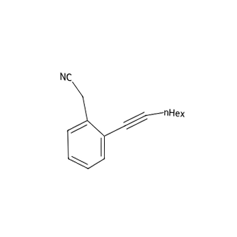 CCCCCCC#Cc1ccccc1CC#N